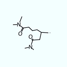 [CH2]C(CCCC(=O)N(C)C)CC(=O)N(C)C